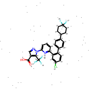 O=C(O)c1cnn(-c2cccc(-c3cc(Cl)ccc3-c3ccc(C4CCC(F)(F)CC4)cc3)n2)c1C(F)(F)F